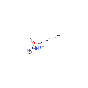 CCCCCCCCCCCC1=CC(=C2NC(c3cccn3C)=CC2OCCC)N=C1CC